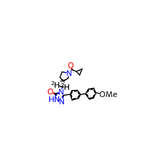 [2H]C([2H])([C@@H]1CCN(C(=O)C2CC2)C1)n1c(-c2ccc(-c3ccc(OC)cc3)cc2)n[nH]c1=O